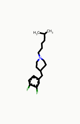 CC(C)CCCCN1CCC(Cc2ccc(F)c(F)c2)CC1